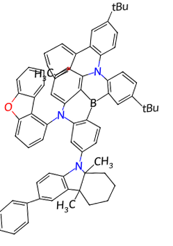 Cc1cc2c3c(c1)N(c1cccc4oc5ccccc5c14)c1cc(N4c5ccc(-c6ccccc6)cc5C5(C)CCCCC45C)ccc1B3c1cc(C(C)(C)C)ccc1N2c1ccc(C(C)(C)C)cc1-c1ccccc1